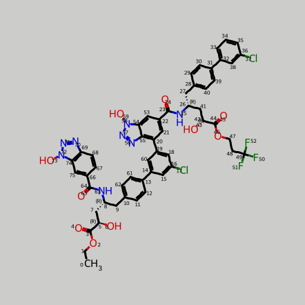 CCOC(=O)[C@H](O)C[C@@H](Cc1ccc(-c2cc(Cl)cc(-c3cc(C(=O)N[C@H](Cc4ccc(-c5cccc(Cl)c5)cc4)C[C@@H](O)C(=O)OCCC(F)(F)F)cc4c3nnn4O)c2)cc1)NC(=O)c1ccc2nnn(O)c2c1